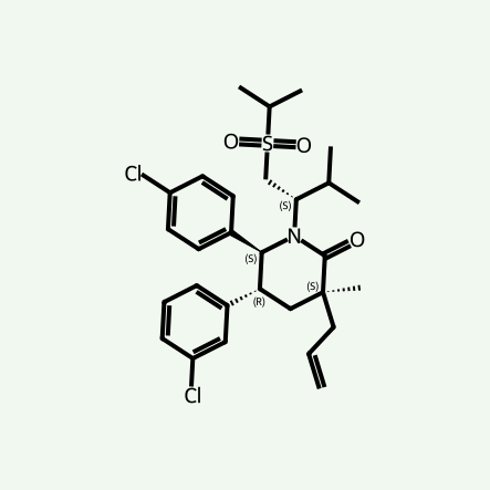 C=CC[C@@]1(C)C[C@H](c2cccc(Cl)c2)[C@@H](c2ccc(Cl)cc2)N([C@H](CS(=O)(=O)C(C)C)C(C)C)C1=O